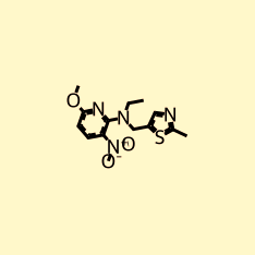 CCN(Cc1cnc(C)s1)c1nc(OC)ccc1[N+](=O)[O-]